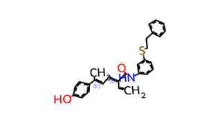 C=C/C(=C\C=C(/C)c1ccc(O)cc1)C(=O)Nc1cccc(SCCc2ccccc2)c1